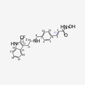 O=C(/C=C/c1ccc(CNCCc2c(C(F)(F)F)[nH]c3ccccc23)cc1)NO